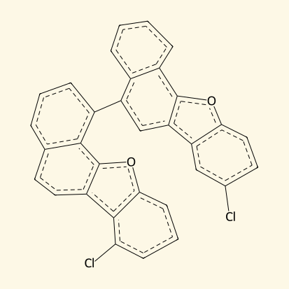 Clc1ccc2oc3c4ccccc4c(-c4cccc5ccc6c(oc7cccc(Cl)c76)c45)cc3c2c1